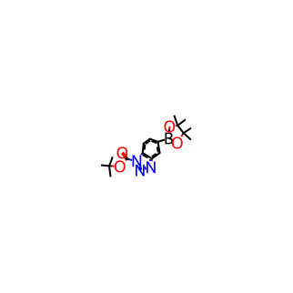 CC(C)(C)OC(=O)n1nnc2cc(B3OC(C)(C)C(C)(C)O3)ccc21